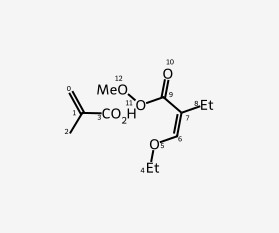 C=C(C)C(=O)O.CCOC=C(CC)C(=O)OOC